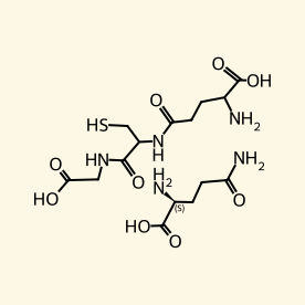 NC(=O)CC[C@H](N)C(=O)O.NC(CCC(=O)NC(CS)C(=O)NCC(=O)O)C(=O)O